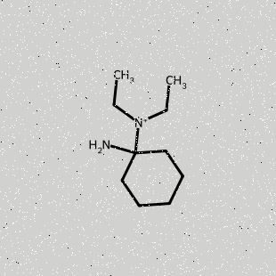 CC[N+](CC)C1(N)CCCCC1